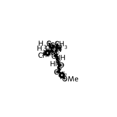 COc1ccc(C(=O)/C=C/C(=O)NCCNC(=O)C[C@@H]2N=C(c3ccc(Cl)cc3)c3c(sc(C)c3C)-n3c(C)nnc32)cc1